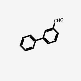 O=Cc1cccc(-c2cc[c]cc2)c1